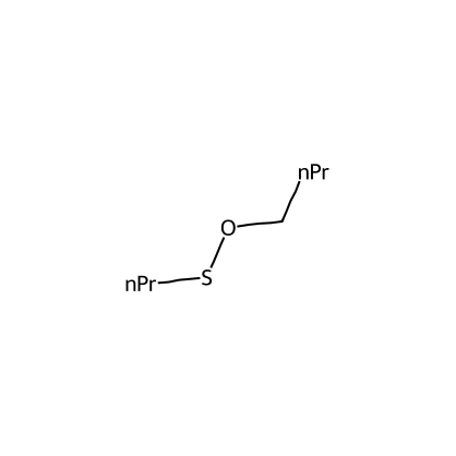 [CH2]CCCOSCCC